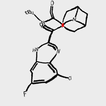 CC(C)(C)NC(=O)CN1C2CC1CN(C(=O)c1nc3c(Cl)cc(F)cc3[nH]1)C2